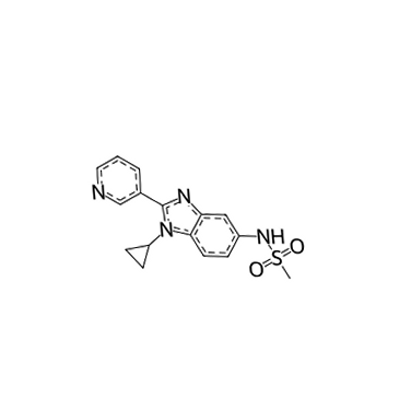 CS(=O)(=O)Nc1ccc2c(c1)nc(-c1cccnc1)n2C1CC1